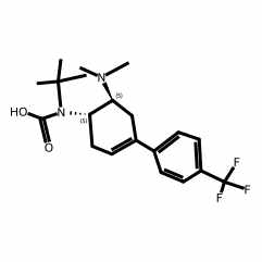 CN(C)[C@H]1CC(c2ccc(C(F)(F)F)cc2)=CC[C@@H]1N(C(=O)O)C(C)(C)C